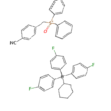 Fc1ccc([B-](c2ccc(F)cc2)(c2ccc(F)cc2)C2CCCCC2)cc1.N#Cc1ccc(C[S+](=O)(c2ccccc2)c2ccccc2)cc1